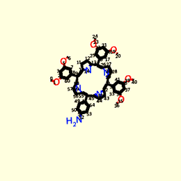 COc1cc(OC)cc(C2=C3C=CC(=N3)C(c3cc(OC)cc(OC)c3)=C3C=CC(=N3)C(c3cc(OC)cc(OC)c3)=C3C=CC(=N3)C(c3ccc(N)cc3)=C3C=CC2=N3)c1